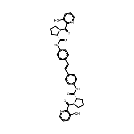 O=C(Nc1ccc(/C=C/c2ccc(NC(=O)[C@@H]3CCCN3C(=O)c3ncccc3O)cc2)cc1)[C@@H]1CCCN1C(=O)c1ncccc1O